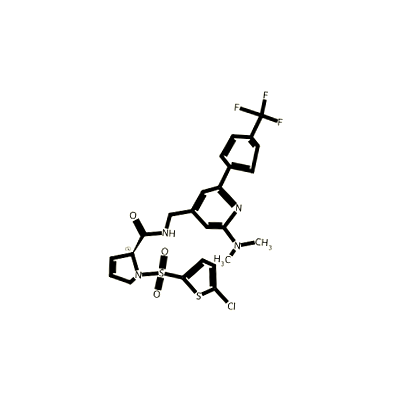 CN(C)c1cc(CNC(=O)[C@@H]2C=CCN2S(=O)(=O)c2ccc(Cl)s2)cc(-c2ccc(C(F)(F)F)cc2)n1